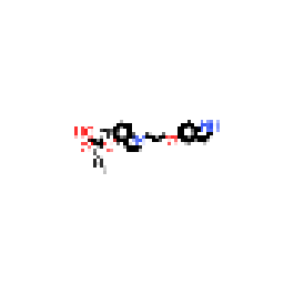 CC(C)(Oc1cccc2c1ccn2CCCOc1ccc2[nH]ccc2c1)C(=O)O